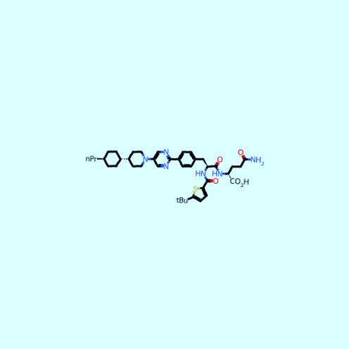 CCC[C@H]1CC[C@H](C2CCN(c3cnc(-c4ccc(C[C@H](NC(=O)c5ccc(C(C)(C)C)s5)C(=O)N[C@H](CCC(N)=O)C(=O)O)cc4)nc3)CC2)CC1